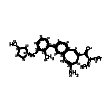 CCCN(CCC)C(=O)C1=Cc2ccc(-c3cccc(SN4CCC(O)C4)c3C)cc2N=C(N)C1